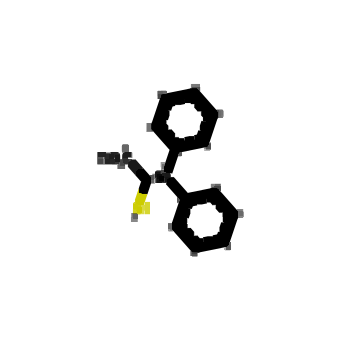 CCOC(=O)CS.c1cc[c]([Sb][c]2ccccc2)cc1